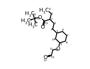 CCC(CCC1CCCC(OCC=O)C1)C(=O)OC(C)(C)C